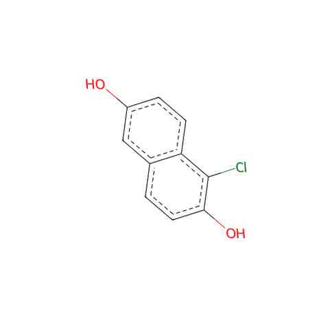 Oc1ccc2c(Cl)c(O)ccc2c1